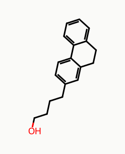 OCCCCc1ccc2c(c1)CCc1ccccc1-2